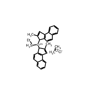 CC.CC[SiH2][Zr+2]([CH]1C(C)=Cc2c1ccc1ccccc21)[CH]1C(C)=Cc2c1ccc1ccccc21.[Cl-].[Cl-]